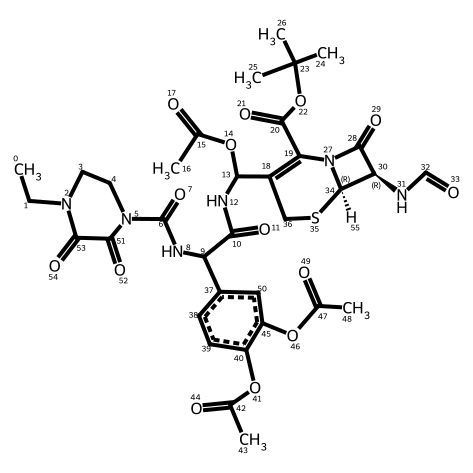 CCN1CCN(C(=O)NC(C(=O)NC(OC(C)=O)C2=C(C(=O)OC(C)(C)C)N3C(=O)[C@@H](NC=O)[C@H]3SC2)c2ccc(OC(C)=O)c(OC(C)=O)c2)C(=O)C1=O